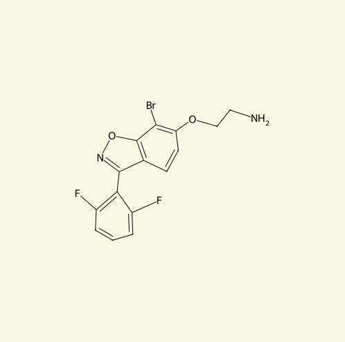 NCCOc1ccc2c(-c3c(F)cccc3F)noc2c1Br